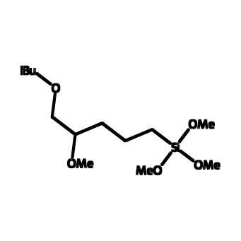 CCC(C)OCC(CCC[Si](OC)(OC)OC)OC